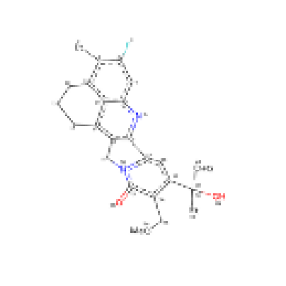 CCc1c(F)cc2nc3c(c4c2c1CCC4)Cn1c-3cc([C@](O)(C=O)CC)c(COC)c1=O